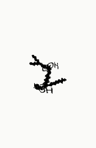 CCCCCCCCCC[C@H](CCCCCCCC[C@H](O)OCCCC(CCCCC)CCCCC)COC(O)C1CCN(C)CC1